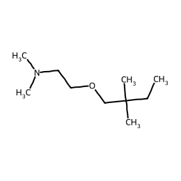 CCC(C)(C)COCCN(C)C